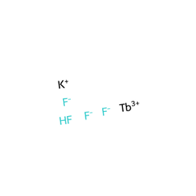 F.[F-].[F-].[F-].[K+].[Tb+3]